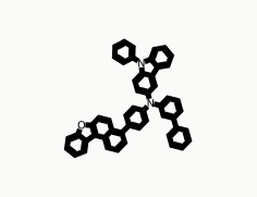 c1ccc(-c2cccc(N(c3ccc(-c4cccc5c4ccc4oc6ccccc6c45)cc3)c3ccc4c(c3)c3ccccc3n4-c3ccccc3)c2)cc1